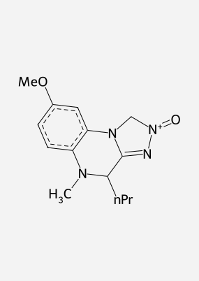 CCCC1C2=N[N+](=O)CN2c2cc(OC)ccc2N1C